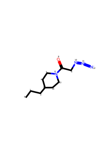 CCCC1CCN(C(=O)CN=[N+]=[N-])CC1